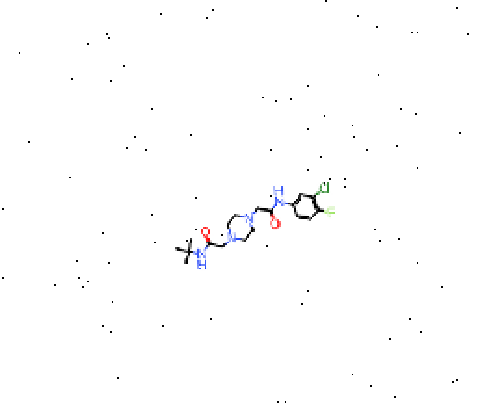 CC(C)(C)NC(=O)CN1CCN(CC(=O)Nc2ccc(F)c(Cl)c2)CC1